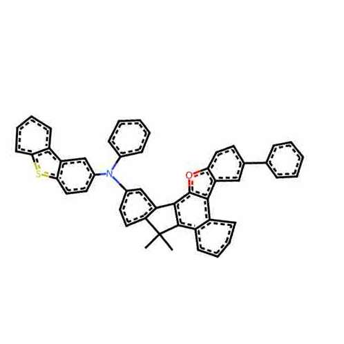 CC1(C)c2ccc(N(c3ccccc3)c3ccc4sc5ccccc5c4c3)cc2-c2c1c1ccccc1c1c2oc2ccc(-c3ccccc3)cc21